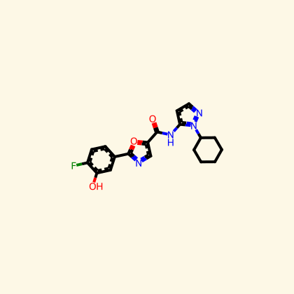 O=C(Nc1ccnn1C1CCCCC1)c1cnc(-c2ccc(F)c(O)c2)o1